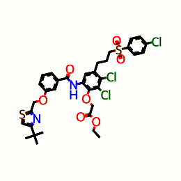 CCOC(=O)COc1c(NC(=O)c2cccc(OCc3nc(C(C)(C)C)cs3)c2)cc(CCCS(=O)(=O)c2ccc(Cl)cc2)c(Cl)c1Cl